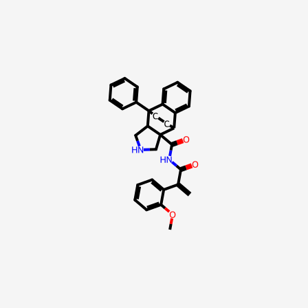 C=C(C(=O)NC(=O)C12CNCC1C1(c3ccccc3)CCC2c2ccccc21)c1ccccc1OC